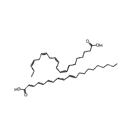 CC/C=C\C/C=C\C/C=C\C/C=C\CCCCCCC(=O)O.CCCCCCCCC/C=C/C=C/C=C/C=C/C=C/C(=O)O